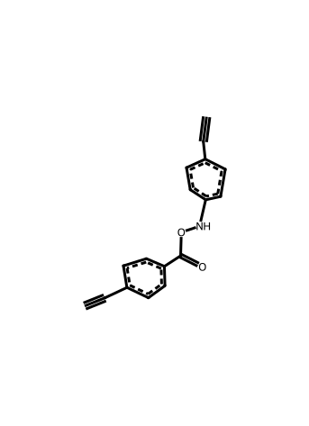 C#Cc1ccc(NOC(=O)c2ccc(C#C)cc2)cc1